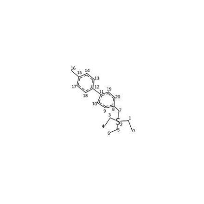 CCS(CC)(CC)Cc1ccc(-c2ccc(C)cc2)cc1